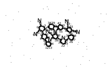 N#Cc1ccc(-c2ccc3c4ccccc4n(-c4cc(-c5cccc(-c6ccccc6)n5)cc(-n5c6ccccc6c6ccc(-c7ccc(C#N)cc7C#N)cc65)c4C#N)c3c2)c(C#N)c1